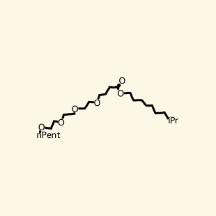 CCCCCOCCOCCOCCOCCCC(=O)OCCCCCCCC(C)C